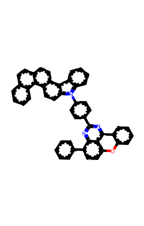 c1ccc(-c2ccc3c4c(nc(-c5ccc(-n6c7ccccc7c7c8ccc9ccc%10ccccc%10c9c8ccc76)cc5)nc24)-c2ccccc2O3)cc1